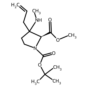 C=CCC1(NC)CCN(C(=O)OC(C)(C)C)[C@@H]1C(=O)OC